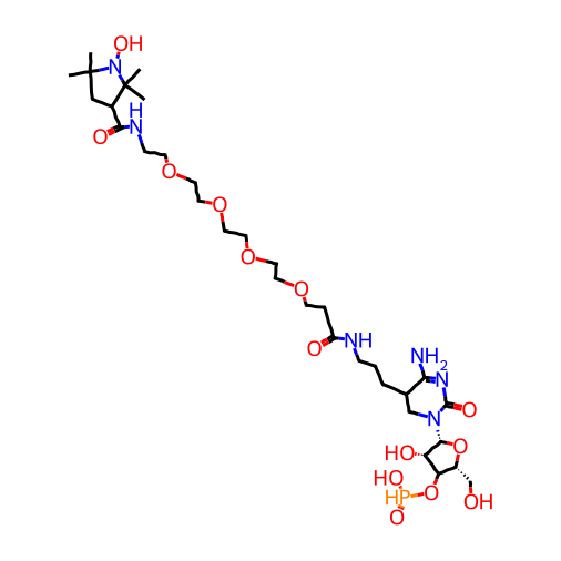 CC1(C)CC(C(=O)NCCOCCOCCOCCOCCC(=O)NCCCC2CN([C@@H]3O[C@H](CO)C(O[PH](=O)O)[C@@H]3O)C(=O)N=C2N)C(C)(C)N1O